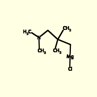 CN(C)CC(C)(C)[CH2][Mg][Cl]